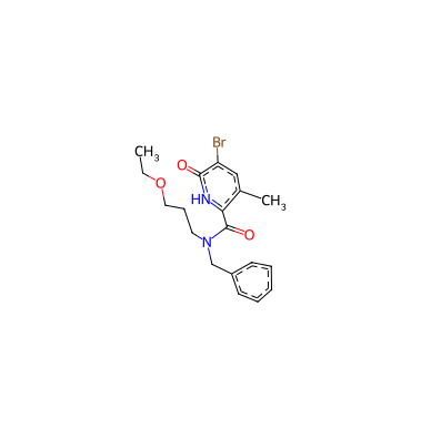 CCOCCCN(Cc1ccccc1)C(=O)c1[nH]c(=O)c(Br)cc1C